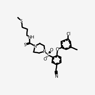 CSCCCNC(=S)N1CCN(S(=O)(=O)c2cc(C#N)ccc2Oc2cc(C)cc(Cl)c2)CC1